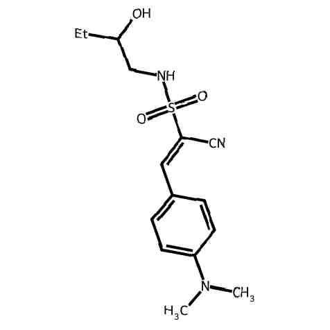 CCC(O)CNS(=O)(=O)/C(C#N)=C/c1ccc(N(C)C)cc1